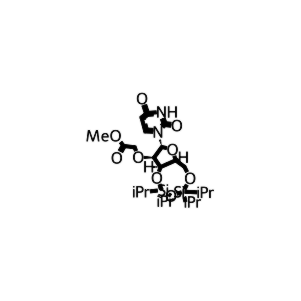 COC(=O)CO[C@@H]1[C@@H]2O[Si](C(C)C)(C(C)C)O[Si](C(C)C)(C(C)C)OC[C@H]2O[C@H]1n1ccc(=O)[nH]c1=O